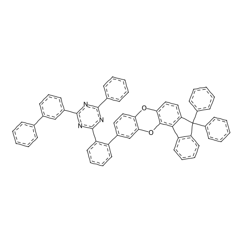 c1ccc(-c2cccc(-c3nc(-c4ccccc4)nc(-c4ccccc4-c4ccc5c(c4)Oc4c(ccc6c4-c4ccccc4C6(c4ccccc4)c4ccccc4)O5)n3)c2)cc1